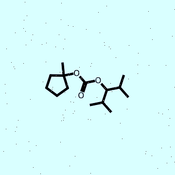 CC(C)C(OC(=O)OC1(C)CCCC1)C(C)C